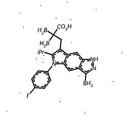 Bc1n[nH]c2cc3c(CC(B)(B)C(=O)O)c(C(C)C)n(-c4ccc(F)cc4)c3cc12